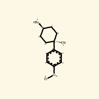 CCCC[C@H]1CC[C@@](C#N)(c2ccc(OCC)cc2)CC1